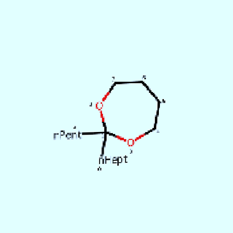 CCCCCCCC1(CCCCC)OCCCCO1